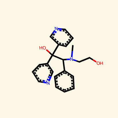 CN(CCO)C(c1ccccc1)C(O)(c1cccnc1)c1cccnc1